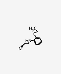 CCOc1ccccc1NCCC#N